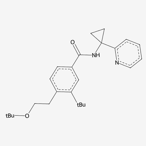 CC(C)(C)OCCc1ccc(C(=O)NC2(c3ccccn3)CC2)cc1C(C)(C)C